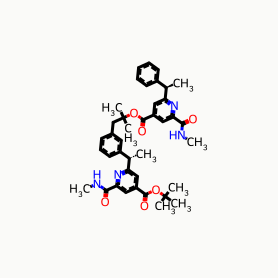 CNC(=O)c1cc(C(=O)OC(C)(C)Cc2cccc([C@H](C)c3cc(C(=O)OC(C)(C)C)cc(C(=O)NC)n3)c2)cc([C@H](C)c2ccccc2)n1